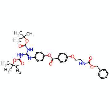 CC(C)(C)OC(=O)NC(=Nc1ccc(OC(=O)c2ccc(OCCNC(=O)OCc3ccccc3)cc2)cc1)NC(=O)OC(C)(C)C